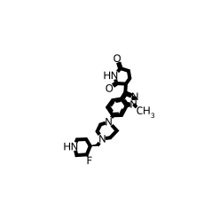 Cn1nc(C2CCC(=O)NC2=O)c2ccc(N3CCN(C[C@@H]4CCNC[C@H]4F)CC3)cc21